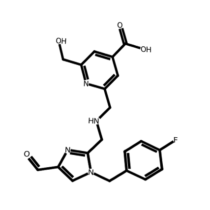 O=Cc1cn(Cc2ccc(F)cc2)c(CNCc2cc(C(=O)O)cc(CO)n2)n1